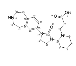 O=C(O)CCN1CCCCC1N1CCN(c2ccc3c(c2)CCNCC3)C1=O